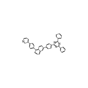 c1ccc(-c2nc(-c3ccccc3)nc(-c3ccc(-c4ccc5c(-c6ccc(-c7cccnc7)cc6)cccc5c4)cc3)n2)cc1